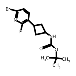 CC(C)(C)OC(=O)NC1CC(c2ccc(Br)nc2F)C1